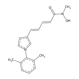 Cc1cccc(C)c1-n1ccc(C=CC=CC(=O)N(C)O)c1